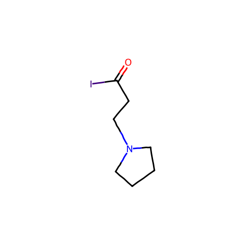 O=C(I)CCN1CCCC1